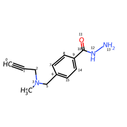 C#CCN(C)Cc1ccc(C(=O)NN)cc1